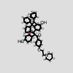 O=C(c1ccc(OCCN2CCCCC2)cc1)c1c(-c2ccc(O)c3c2C(c2ccccc2)(c2ccccc2)C3c2ccccc2)sc2cc(O)ccc12